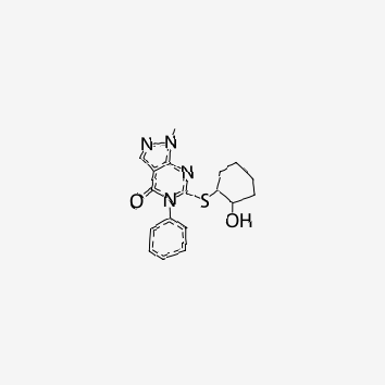 Cn1ncc2c(=O)n(-c3ccccc3)c(SC3CCCCC3O)nc21